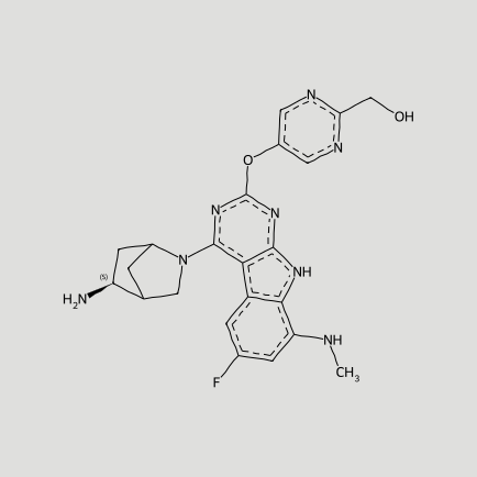 CNc1cc(F)cc2c1[nH]c1nc(Oc3cnc(CO)nc3)nc(N3CC4CC3C[C@@H]4N)c12